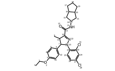 CCOc1ccc(C2C(C)C(C(=O)NN3CC4CCCC4C3)=NN2c2ccc(Cl)cc2Cl)cc1